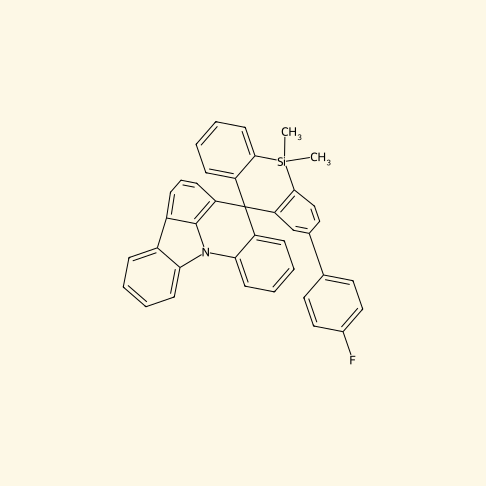 C[Si]1(C)c2ccccc2C2(c3ccccc3-n3c4ccccc4c4cccc2c43)c2cc(-c3ccc(F)cc3)ccc21